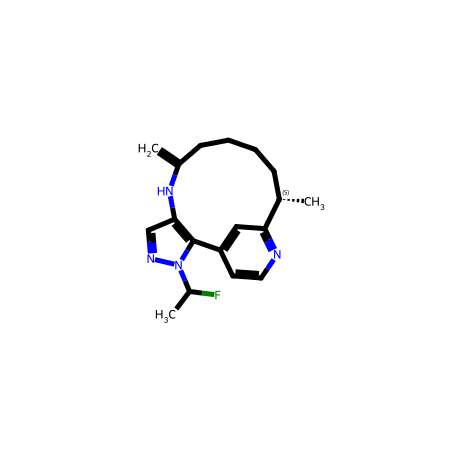 C=C1CCCC[C@H](C)c2cc(ccn2)-c2c(cnn2C(C)F)N1